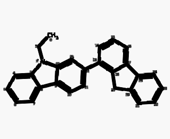 CCn1c2ccccc2c2ccc(-c3cccc4c3Cc3ccccc3-4)cc21